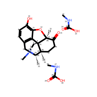 CN1CC[C@]23c4c5ccc(O)c4O[C@H]2C(=O)CC[C@H]3[C@H]1C5.CNC(=O)O.CNC(=O)O